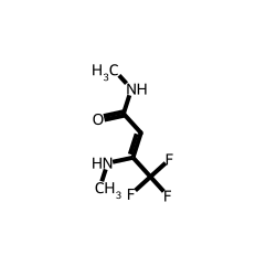 CNC(=O)C=C(NC)C(F)(F)F